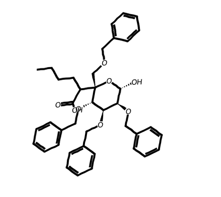 CCCCC(C(=O)O)[C@]1(COCc2ccccc2)O[C@H](O)[C@@H](OCc2ccccc2)[C@@H](OCc2ccccc2)[C@@H]1OCc1ccccc1